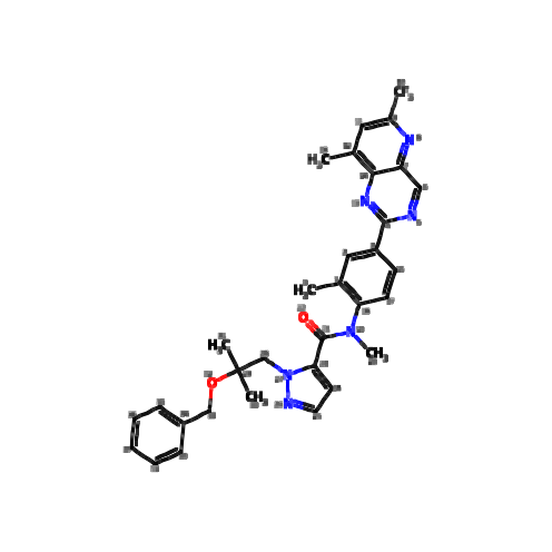 Cc1cc(-c2ncc3nc(C(F)(F)F)cc(C)c3n2)ccc1N(C)C(=O)c1ccnn1CC(C)(C)OCc1ccccc1